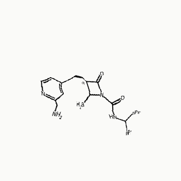 BC1[C@@H](Cc2ccnc(N)c2)C(=O)N1C(=O)NC(CCC)CCC